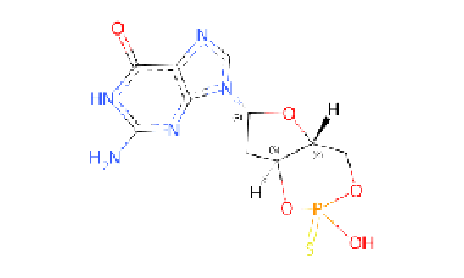 Nc1nc2c(ncn2[C@H]2C[C@@H]3OP(O)(=S)OC[C@H]3O2)c(=O)[nH]1